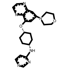 c1cc(N[C@H]2CC[C@@H](Oc3cc(N4CCOCC4)cc4nccnc34)CC2)ncn1